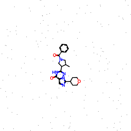 CC1CN(C(=O)c2ccccc2)CC1c1nn2c(C3CCOCC3)ncc2c(=O)[nH]1